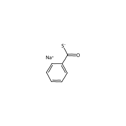 O=C([S-])c1ccccc1.[Na+]